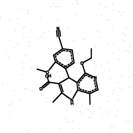 CCOc1ncc(C)c2c1C(c1ccc(C#N)cc1OC)C(C(=O)O)=C(C)N2